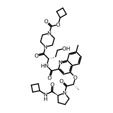 Cc1ccc2c(O[C@H](C)C(=O)N3CCC[C@H]3C(=O)NC3CCC3)cc(C(=O)N[C@@H](CCO)C(=O)N3CCN(C(=O)OC4CCC4)CC3)nc2c1